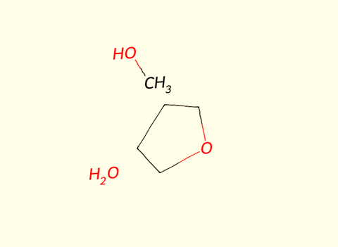 C1CCOC1.CO.O